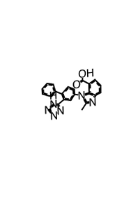 Cc1nc2cccc(C(=O)O)c2n1-c1ccc(-c2ccccc2)c(-c2nnn[nH]2)c1